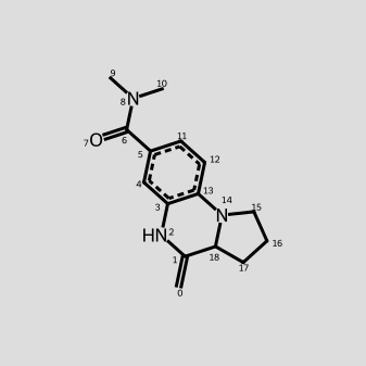 C=C1Nc2cc(C(=O)N(C)C)ccc2N2CCCC12